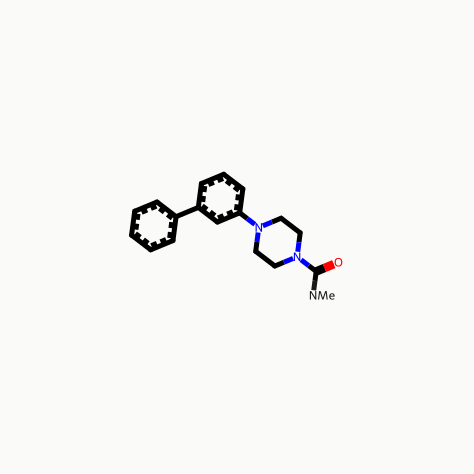 CNC(=O)N1CCN(c2cccc(-c3ccccc3)c2)CC1